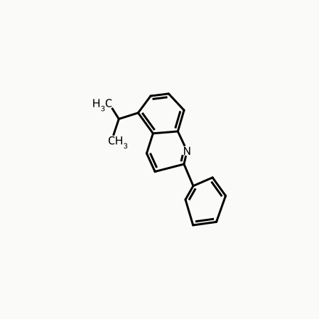 CC(C)c1cccc2nc(-c3ccccc3)ccc12